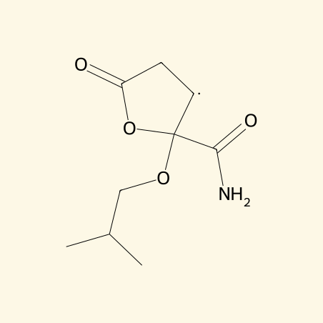 CC(C)COC1(C(N)=O)[CH]CC(=O)O1